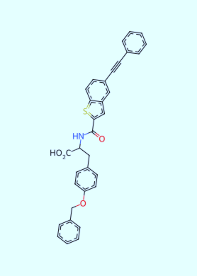 O=C(NC(Cc1ccc(OCc2ccccc2)cc1)C(=O)O)c1cc2cc(C#Cc3ccccc3)ccc2s1